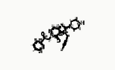 CC#CCn1c(N2CCNCC2)nc2cnn(CC(=O)c3ccccn3)c(=O)c21